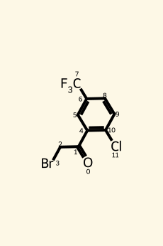 O=C(CBr)c1cc(C(F)(F)F)ccc1Cl